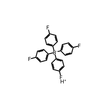 Fc1ccc([B-](c2ccc(F)cc2)(c2ccc(F)cc2)c2ccc(F)cc2)cc1.[H+]